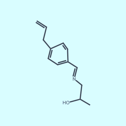 C=CCc1ccc(C=NCC(C)O)cc1